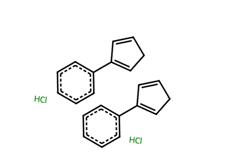 C1=CC(c2ccccc2)=CC1.C1=CC(c2ccccc2)=CC1.Cl.Cl